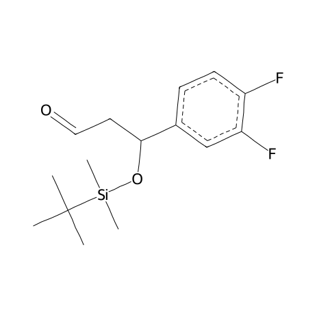 CC(C)(C)[Si](C)(C)OC(CC=O)c1ccc(F)c(F)c1